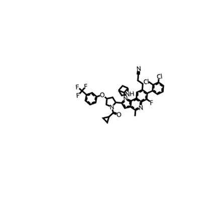 Cc1nc2c(F)c(-c3cccc(Cl)c3Cl)c(CCC#N)cc2c2c1cc(C1CC(Oc3cccc(C(F)(F)F)c3)CN1C(=O)C1CC1)n2C1C2CNC1C2